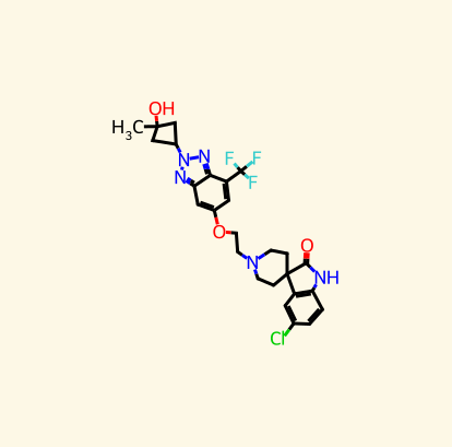 CC1(O)CC(n2nc3cc(OCCN4CCC5(CC4)C(=O)Nc4ccc(Cl)cc45)cc(C(F)(F)F)c3n2)C1